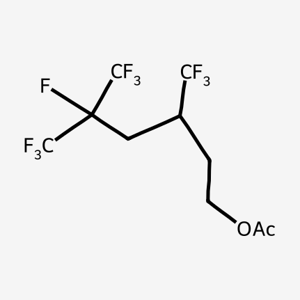 CC(=O)OCCC(CC(F)(C(F)(F)F)C(F)(F)F)C(F)(F)F